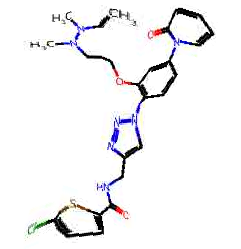 CCN(C)N(C)CCOc1cc(-n2ccccc2=O)ccc1-n1cc(CNC(=O)c2ccc(Cl)s2)nn1